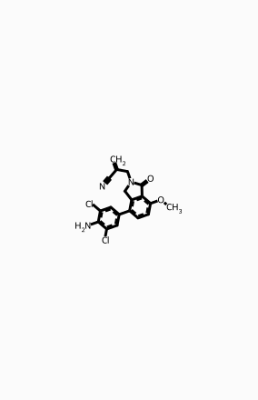 C=C(C#N)CN1Cc2c(-c3cc(Cl)c(N)c(Cl)c3)ccc(OC)c2C1=O